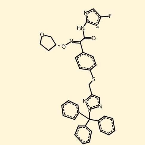 O=C(Nc1ncc(F)s1)/C(=N/O[C@@H]1CCOC1)c1ccc(SCc2cnn(C(c3ccccc3)(c3ccccc3)c3ccccc3)n2)cc1